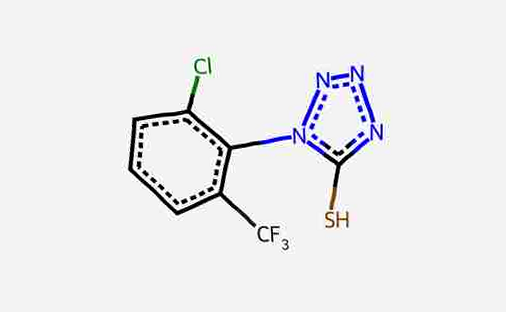 FC(F)(F)c1cccc(Cl)c1-n1nnnc1S